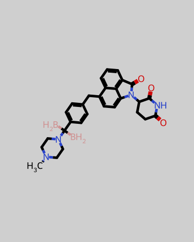 BC(B)(c1ccc(Cc2ccc3c4c(cccc24)C(=O)N3C2CCC(=O)NC2=O)cc1)N1CCN(C)CC1